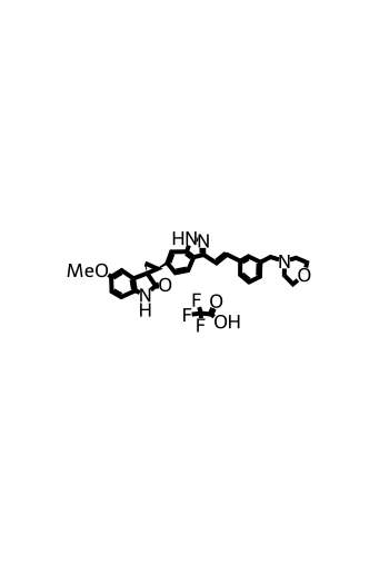 COc1ccc2c(c1)[C@]1(C[C@H]1c1ccc3c(C=Cc4cccc(CN5CCOCC5)c4)n[nH]c3c1)C(=O)N2.O=C(O)C(F)(F)F